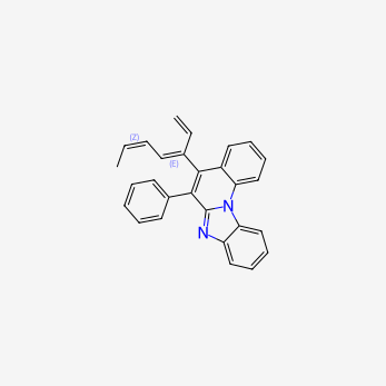 C=C/C(=C\C=C/C)c1c(-c2ccccc2)c2nc3ccccc3n2c2ccccc12